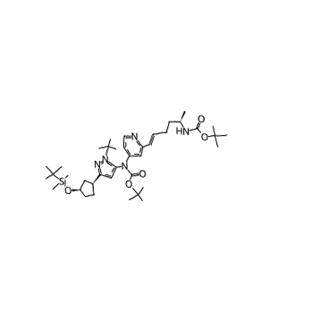 C[C@H](CC/C=C/c1cc(N(C(=O)OC(C)(C)C)c2cc([C@H]3CC[C@@H](O[Si](C)(C)C(C)(C)C)C3)nn2C(C)(C)C)ccn1)NC(=O)OC(C)(C)C